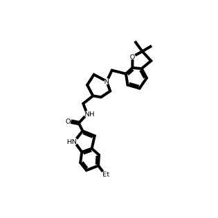 CCc1ccc2[nH]c(C(=O)NCC3CCN(Cc4cccc5c4OC(C)(C)C5)CC3)cc2c1